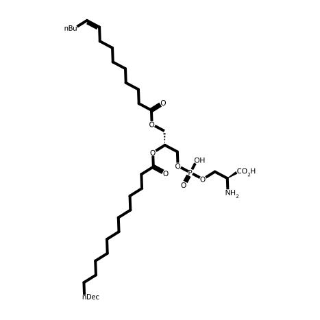 CCCC/C=C\CCCCCCCC(=O)OC[C@H](COP(=O)(O)OC[C@H](N)C(=O)O)OC(=O)CCCCCCCCCCCCCCCCCCCCC